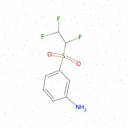 Nc1cccc(S(=O)(=O)C(F)C(F)F)c1